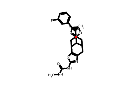 CNC(=O)Nc1nc2c(s1)C1CN(C(C)=O)CC(C2)C1c1nc(-c2cccc(F)c2)no1